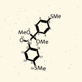 COC(OC)(c1ccc(SC)cc1)[S+]([O-])c1ccc(SC)cc1